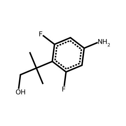 CC(C)(CO)c1c(F)cc(N)cc1F